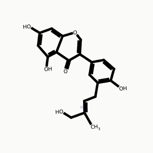 C/C(=C\Cc1cc(-c2coc3cc(O)cc(O)c3c2=O)ccc1O)CO